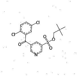 CC(C)(C)COS(=O)(=O)c1cncc(C(=O)c2cc(Cl)ccc2Cl)c1